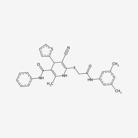 CC1=C(C(=O)Nc2ccccc2)C(c2cccs2)C(C#N)=C(SCC(=O)Nc2cc(C)cc(C)c2)N1